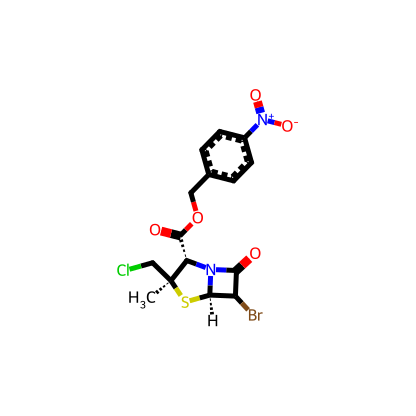 C[C@@]1(CCl)S[C@@H]2C(Br)C(=O)N2[C@H]1C(=O)OCc1ccc([N+](=O)[O-])cc1